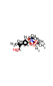 CC(C)(C)OC(=O)N(C(C)(C)C)S(=O)(=O)c1ccc([C@@H]2[C@@H](CO)C2(C)C)cc1